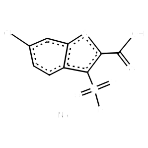 O=C(O)c1sc2cc(Cl)ccc2c1S(=O)(=O)[O-].[Na+]